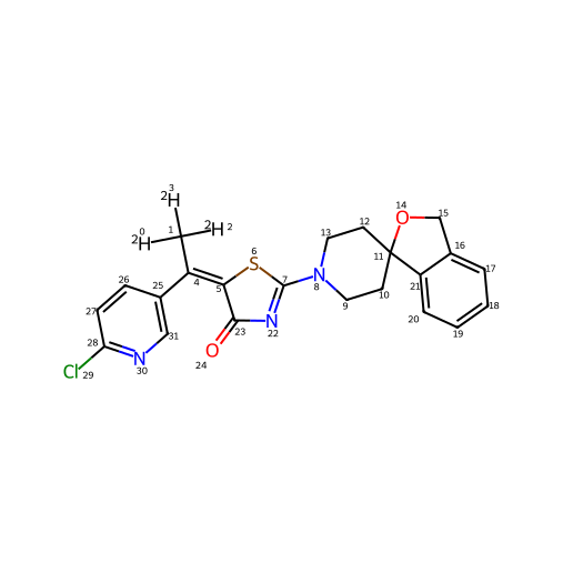 [2H]C([2H])([2H])/C(=C1\SC(N2CCC3(CC2)OCc2ccccc23)=NC1=O)c1ccc(Cl)nc1